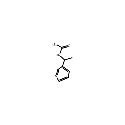 CC(NC(=O)C(C)(C)C)c1cccnc1